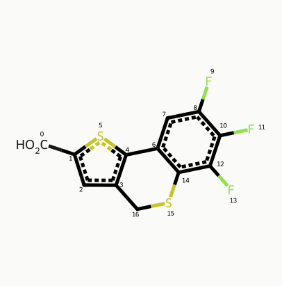 O=C(O)c1cc2c(s1)-c1cc(F)c(F)c(F)c1SC2